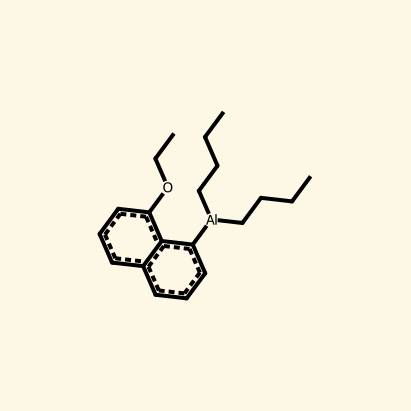 CCC[CH2][Al]([CH2]CCC)[c]1cccc2cccc(OCC)c12